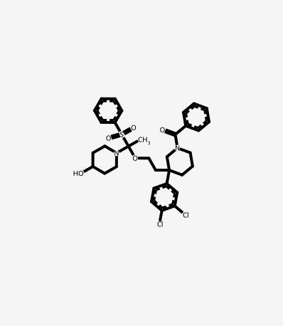 CC(OCCC1(c2ccc(Cl)c(Cl)c2)CCCN(C(=O)c2ccccc2)C1)(N1CCC(O)CC1)S(=O)(=O)c1ccccc1